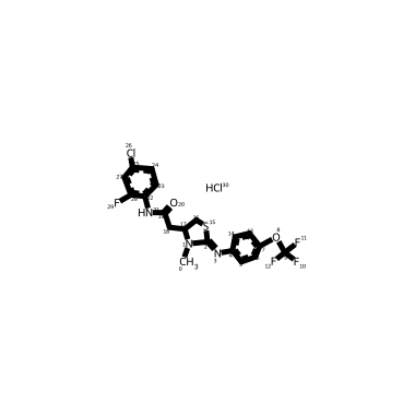 CN1C(=Nc2ccc(OC(F)(F)F)cc2)SCC1CC(=O)Nc1ccc(Cl)cc1F.Cl